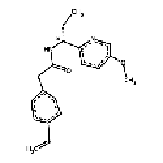 C=Cc1ccc(CC(=O)N[C@H](CC)c2ccc(OC)cn2)cc1